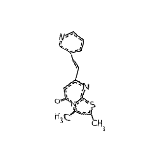 Cc1sc2nc(/C=C/c3cccnc3)cc(=O)n2c1C